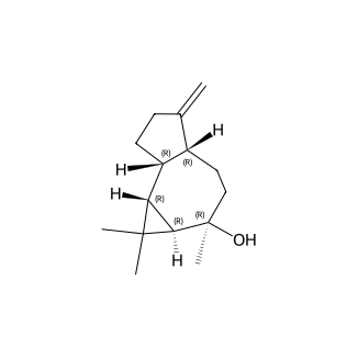 C=C1CC[C@H]2[C@@H]3[C@H](C3(C)C)[C@](C)(O)CC[C@@H]12